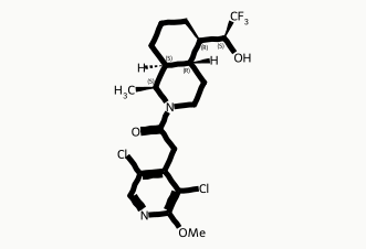 COc1ncc(Cl)c(CC(=O)N2CC[C@H]3[C@H]([C@H](O)C(F)(F)F)CCC[C@@H]3[C@@H]2C)c1Cl